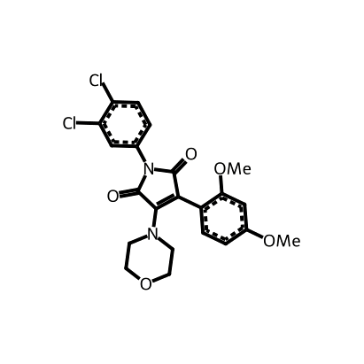 COc1ccc(C2=C(N3CCOCC3)C(=O)N(c3ccc(Cl)c(Cl)c3)C2=O)c(OC)c1